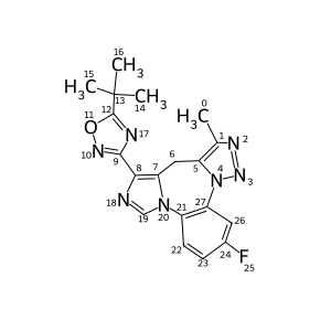 Cc1nnn2c1Cc1c(-c3noc(C(C)(C)C)n3)ncn1-c1ccc(F)cc1-2